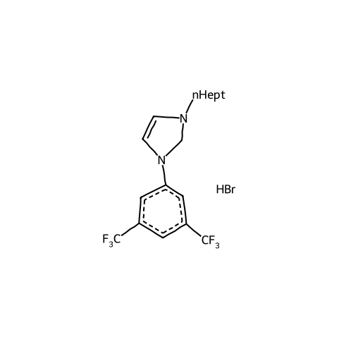 Br.CCCCCCCN1C=CN(c2cc(C(F)(F)F)cc(C(F)(F)F)c2)C1